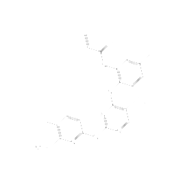 C=CC(=O)Nc1cc(C)ccc1Nc1nc(Nc2ccc(F)c(OC)n2)ncc1C(F)(F)F